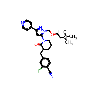 C[Si](C)(C)CCOCn1nc(-c2ccncc2)cc1N1CCCC(Cc2ccc(C#N)c(F)c2)C1=O